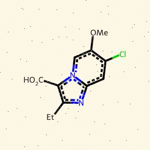 CCc1nc2cc(Cl)c(OC)cn2c1C(=O)O